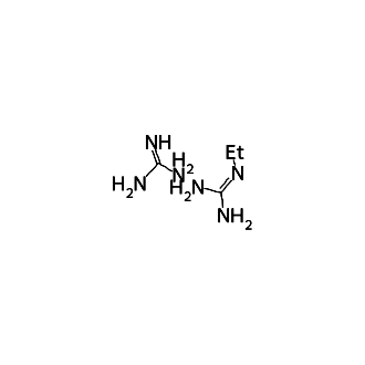 CCN=C(N)N.N=C(N)N